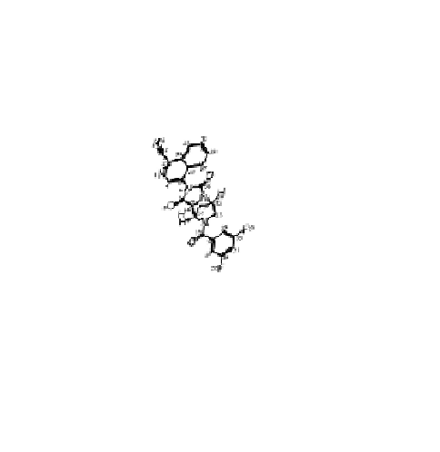 N#Cc1ncc(N2C(=O)[C@@H]3[C@@H]4C[C@@H](CN4C(=O)c4cc(F)cc(F)c4)N3C2=O)c2ccccc12